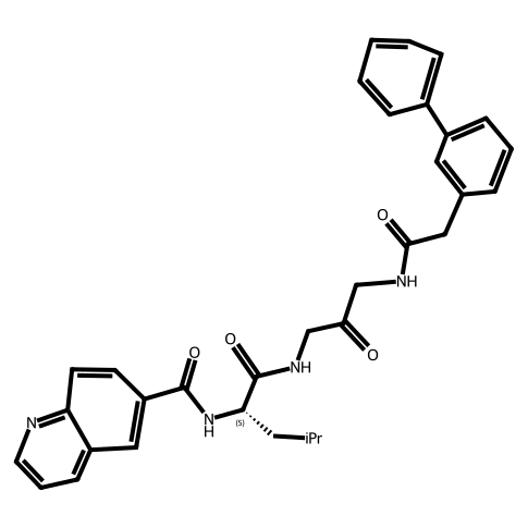 CC(C)C[C@H](NC(=O)c1ccc2ncccc2c1)C(=O)NCC(=O)CNC(=O)Cc1cccc(-c2ccccc2)c1